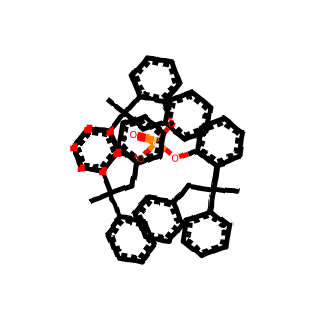 CC(Cc1ccccc1)(c1ccccc1)c1ccccc1OP(=O)(Oc1ccccc1C(C)(Cc1ccccc1)c1ccccc1)Oc1ccccc1C(C)(Cc1ccccc1)c1ccccc1